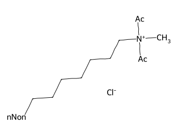 CCCCCCCCCCCCCCCC[N+](C)(C(C)=O)C(C)=O.[Cl-]